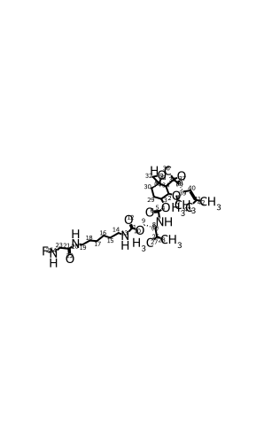 COC1C(OC(=O)N[C@@H](COC(=O)NCCCCCCNC(=O)CNF)C(C)C)CC[C@]2(CO2)C1C1(C)O[C@@H]1CC=C(C)C